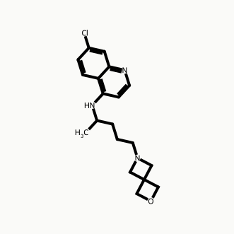 CC(CCCN1CC2(COC2)C1)Nc1ccnc2cc(Cl)ccc12